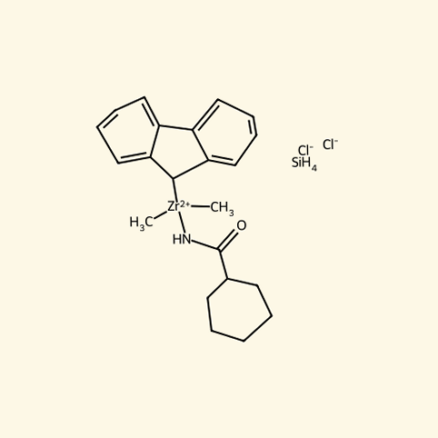 [CH3][Zr+2]([CH3])([NH]C(=O)C1CCCCC1)[CH]1c2ccccc2-c2ccccc21.[Cl-].[Cl-].[SiH4]